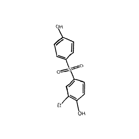 CCc1cc(S(=O)(=O)c2ccc(O)cc2)ccc1O